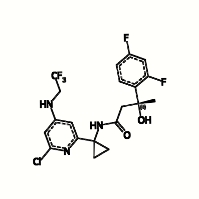 C[C@@](O)(CC(=O)NC1(c2cc(NCC(F)(F)F)cc(Cl)n2)CC1)c1ccc(F)cc1F